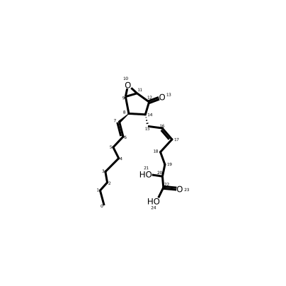 CCCCCC/C=C/[C@H]1C2OC2C(=O)[C@@H]1C/C=C\CCC(O)C(=O)O